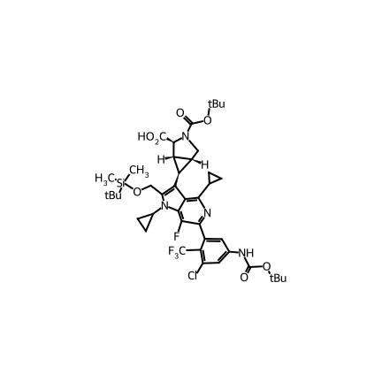 CC(C)(C)OC(=O)Nc1cc(Cl)c(C(F)(F)F)c(-c2nc(C3CC3)c3c([C@@H]4[C@H]5CN(C(=O)OC(C)(C)C)[C@H](C(=O)O)[C@H]54)c(CO[Si](C)(C)C(C)(C)C)n(C4CC4)c3c2F)c1